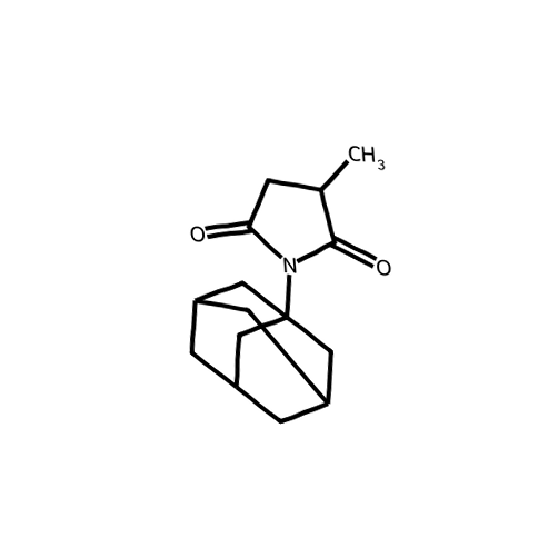 CC1CC(=O)N(C23CC4CC(CC(C4)C2)C3)C1=O